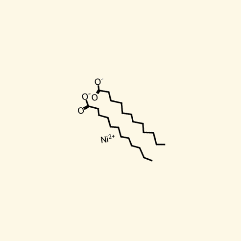 CCCCCCCCCCCC(=O)[O-].CCCCCCCCCCCC(=O)[O-].[Ni+2]